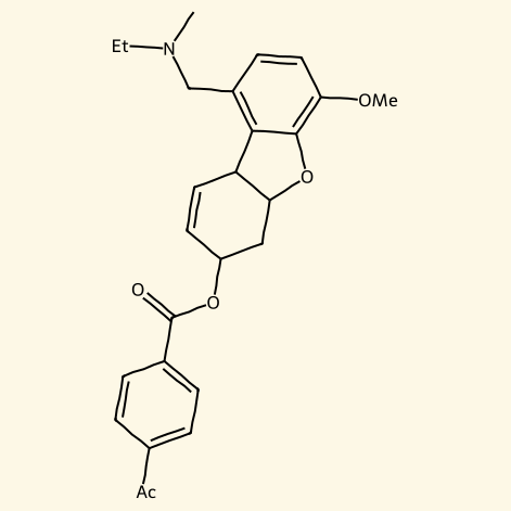 CCN(C)Cc1ccc(OC)c2c1C1C=CC(OC(=O)c3ccc(C(C)=O)cc3)CC1O2